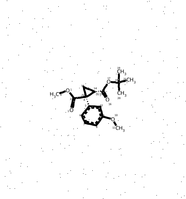 COC(=O)[C@@]1(c2cccc(OC)c2)C[C@@H]1C(=O)OC(C)(C)C